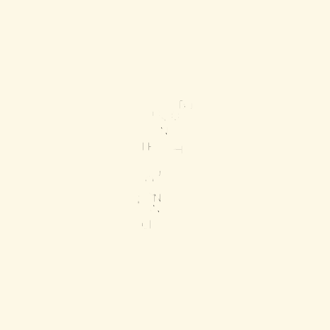 CC(C)(C)OC(=O)N1C[C@H]2C[C@H](COc3ccc(Cl)nn3)C[C@H]2C1